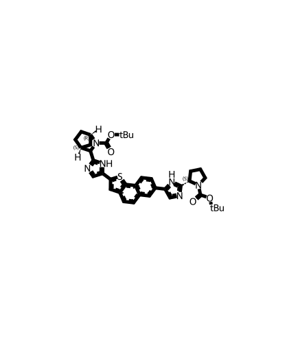 CC(C)(C)OC(=O)N1CCC[C@H]1c1ncc(-c2ccc3c(ccc4cc(-c5cnc(C6[C@H]7CC[C@H](C7)N6C(=O)OC(C)(C)C)[nH]5)sc43)c2)[nH]1